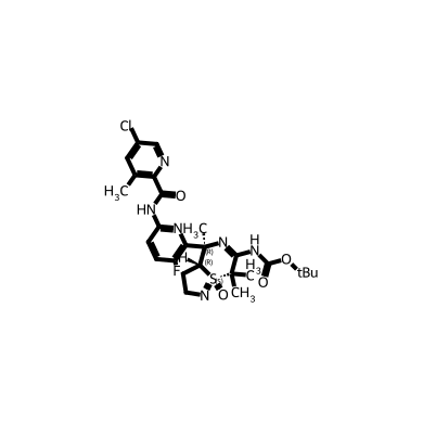 Cc1cc(Cl)cnc1C(=O)Nc1ccc(F)c([C@@]2(C)N=C(NC(=O)OC(C)(C)C)C(C)(C)[S@]3(=O)=NCC[C@H]23)n1